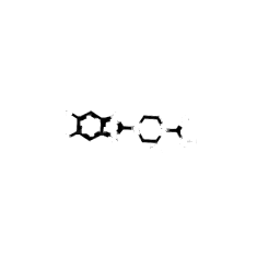 C[C@@H]1CN(c2nc3cc(F)c(F)cc3s2)C[C@H](C)N1C(=O)O